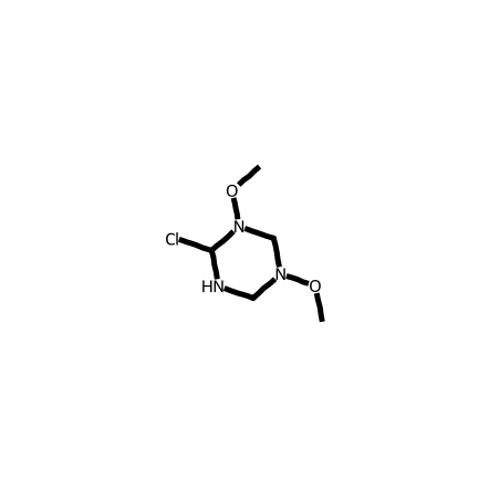 CON1CNC(Cl)N(OC)C1